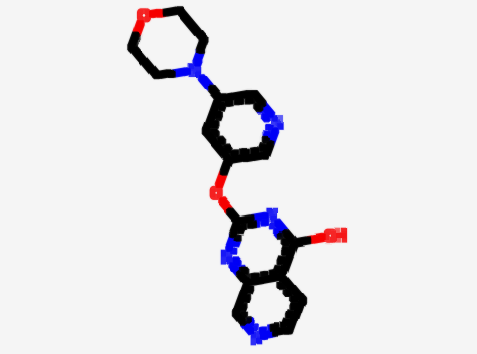 Oc1nc(Oc2cncc(N3CCOCC3)c2)nc2cnccc12